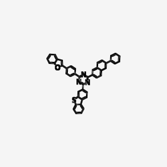 c1ccc(-c2ccc3cc(-c4nc(-c5ccc(-c6cc7ccccc7o6)cc5)nc(-c5ccc6c(c5)sc5ccccc56)n4)ccc3c2)cc1